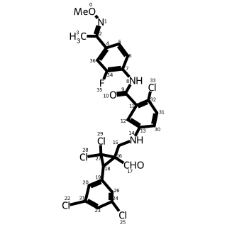 CO/N=C(\C)c1ccc(NC(=O)c2cc(NCC3(C=O)C(c4cc(Cl)cc(Cl)c4)C3(Cl)Cl)ccc2Cl)c(F)c1